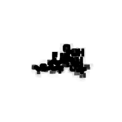 CCOCc1cc(F)c(-c2nc(C(=O)O)c(NC(=O)OC(C)(C)C)s2)c(F)c1